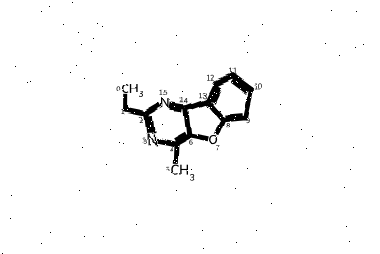 CCc1nc(C)c2oc3ccccc3c2n1